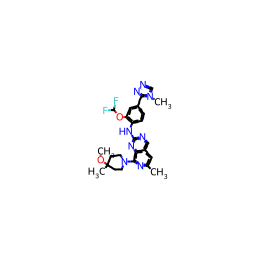 COC1(C)CCN(c2nc(C)cc3cnc(Nc4ccc(-c5nncn5C)cc4OC(F)F)nc23)CC1